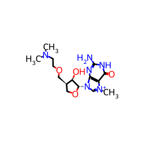 CN(C)CCOC[C@@H]1CO[C@@H](n2c[n+](C)c3c(=O)[nH]c(N)nc32)[C@@H]1O